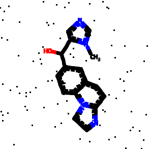 Cn1cncc1C(O)c1ccc2c(ccc3nccn32)c1